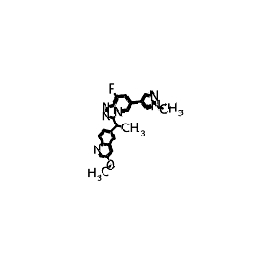 COc1cnc2ccc(C(C)c3nnc4c(F)cc(-c5cnn(C)c5)cn34)cc2c1